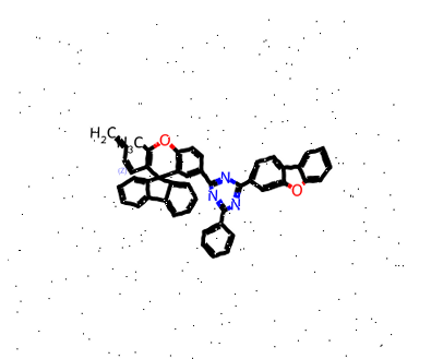 C=C/C=C\C1=C(C)Oc2ccc(-c3nc(-c4ccccc4)nc(-c4ccc5c(c4)oc4ccccc45)n3)cc2C12c1ccccc1-c1ccccc12